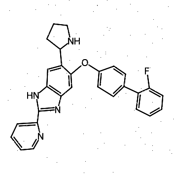 Fc1ccccc1-c1ccc(Oc2cc3nc(-c4ccccn4)[nH]c3cc2C2CCCN2)cc1